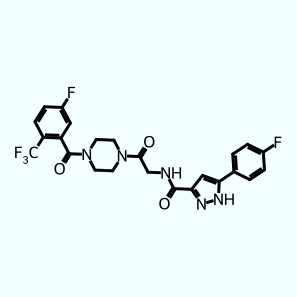 O=C(NCC(=O)N1CCN(C(=O)c2cc(F)ccc2C(F)(F)F)CC1)c1cc(-c2ccc(F)cc2)[nH]n1